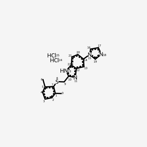 Cc1cccc(C)c1SCc1nc2cc(-n3ccnc3)ccc2[nH]1.Cl.Cl